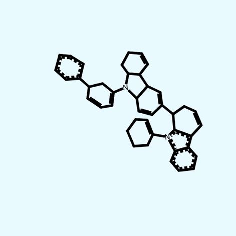 C1=CC(c2ccccc2)CC(N2C3C=CC(C4CC=Cc5c4n(C4=CCCCC4)c4ccccc54)=CC3C3C=CCCC32)=C1